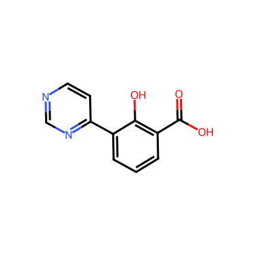 O=C(O)c1cccc(-c2ccncn2)c1O